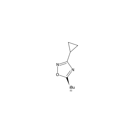 CC[C@H](C)c1nc(C2CC2)no1